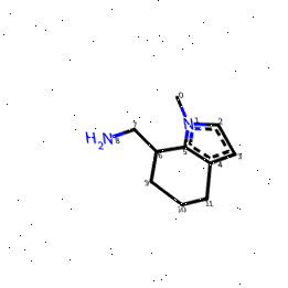 Cn1ccc2c1C(CN)CCC2